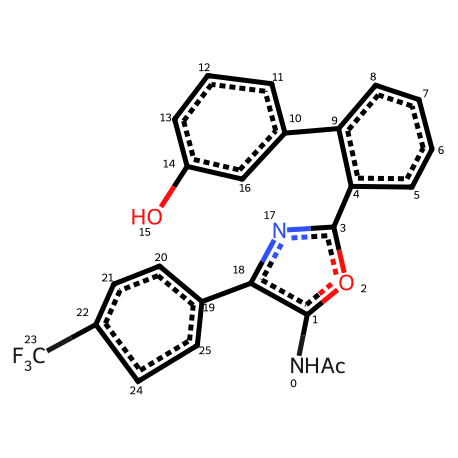 CC(=O)Nc1oc(-c2ccccc2-c2cccc(O)c2)nc1-c1ccc(C(F)(F)F)cc1